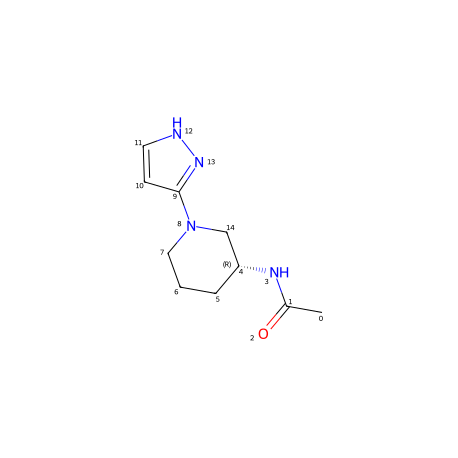 CC(=O)N[C@@H]1CCCN(c2cc[nH]n2)C1